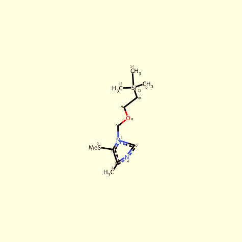 CSc1c(C)ncn1COCC[Si](C)(C)C